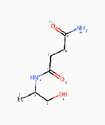 CCC(CO)NC(=O)CCC(N)=O